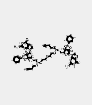 N#CCCOP(OCCSCCOP(OCCC#N)OC[C@H]1O[C@@H](n2cnc3c(=O)[nH]c(N)nc32)[C@@H]2OB(c3ccccc3)O[C@@H]21)OC[C@H]1O[C@@H](n2cnc3c(=O)[nH]c(N)nc32)[C@@H]2OB(c3ccccc3)O[C@@H]21